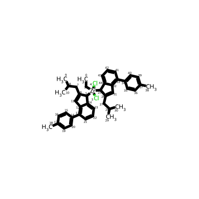 C[CH2][Zr]([Cl])([Cl])([CH]1C(CC(C)C)=Cc2c(-c3ccc(C)cc3)cccc21)[CH]1C(CC(C)C)=Cc2c(-c3ccc(C)cc3)cccc21